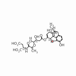 C[C@H](OC(O)[C@@H](O)CC(=O)OC1=CC[C@@]2(O)[C@H]3Cc4ccc(O)c5c4C2(CCN3C)[C@H]1O5)C(=O)N[C@@H](CC(=O)O)C(=O)O